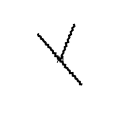 CCCCCCCCCCCCCCCCC[CH2][Al]([CH2]CCCCCCCCCCCCCCCCC)[CH2]CCCCCCCCCCCCCCCCC